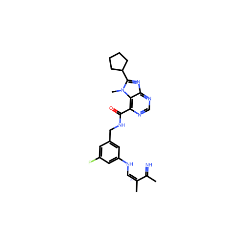 CC(=N)/C(C)=C\Nc1cc(F)cc(CNC(=O)c2ncnc3nc(C4CCCC4)n(C)c23)c1